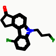 O=C1CCc2c1ccc1c2c2c(F)cccc2n1CCCF